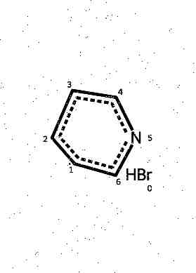 Br.[c]1cccnc1